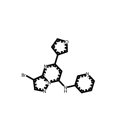 Brc1cnn2c(Nc3cccnc3)cc(-c3ccoc3)nc12